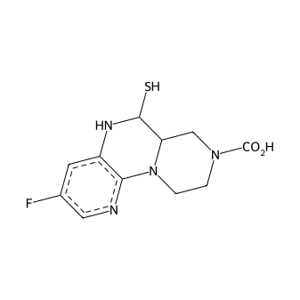 O=C(O)N1CCN2c3ncc(F)cc3NC(S)C2C1